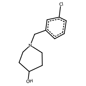 OC1CCN(Cc2cccc(Cl)c2)CC1